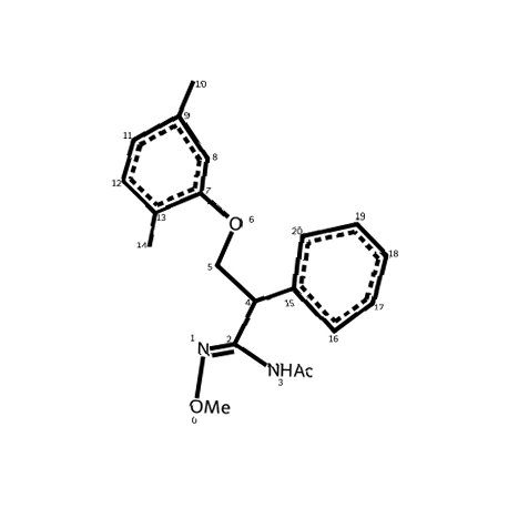 CON=C(NC(C)=O)C(COc1cc(C)ccc1C)c1ccccc1